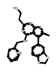 Cc1sc2nc(CCO)nc(NCc3ccccn3)c2c1-c1ccc2c(c1)OCO2